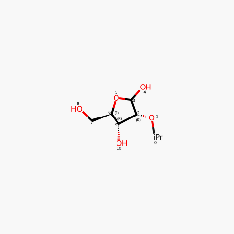 CC(C)O[C@H]1C(O)O[C@H](CO)[C@H]1O